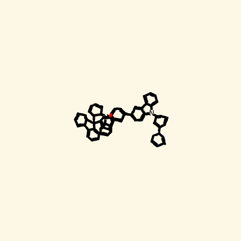 C1=CCC(c2cccc(-n3c4ccccc4c4cc(-c5ccc6c(c5)c5ccccc5n6C5C=CC=CC5C5(c6ccccc6)c6ccccc6-c6ccccc65)ccc43)c2)C=C1